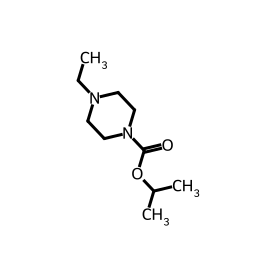 CCN1CCN(C(=O)OC(C)C)CC1